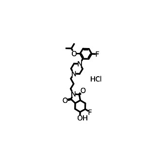 CC(C)Oc1ccc(F)cc1N1CCN(CCCN2C(=O)C3CC(O)C(F)CC3C2=O)CC1.Cl